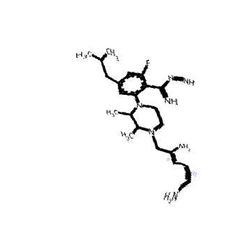 CC(C)Cc1cc(F)c(C(=N)N=N)c(N2CCN(C/C(N)=C/C=C\N)C(C)C2C)c1